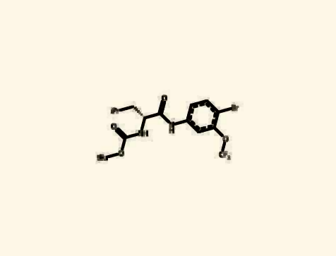 CC(C)C[C@@H](NC(=O)OC(C)(C)C)C(=O)Nc1ccc(Br)c(OC(F)(F)F)c1